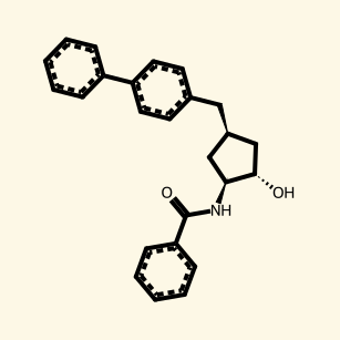 O=C(N[C@H]1C[C@@H](Cc2ccc(-c3ccccc3)cc2)C[C@@H]1O)c1ccccc1